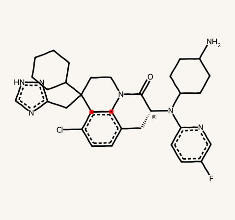 NC1CCC(N(c2ccc(F)cn2)[C@H](Cc2ccc(Cl)cc2)C(=O)N2CCC(Cc3nc[nH]n3)(C3CCCCC3)CC2)CC1